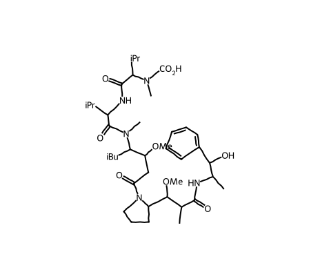 CCC(C)C(C(CC(=O)N1CCCC1C(OC)C(C)C(=O)NC(C)C(O)c1ccccc1)OC)N(C)C(=O)C(NC(=O)C(C(C)C)N(C)C(=O)O)C(C)C